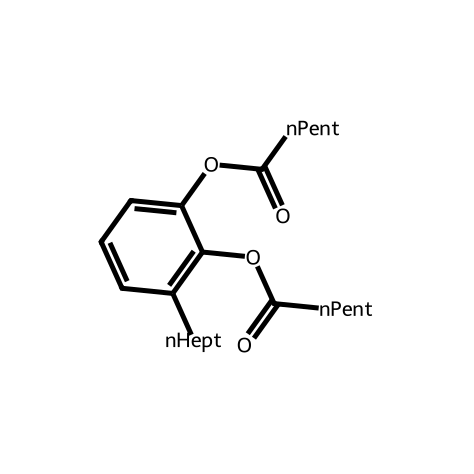 CCCCCCCc1cccc(OC(=O)CCCCC)c1OC(=O)CCCCC